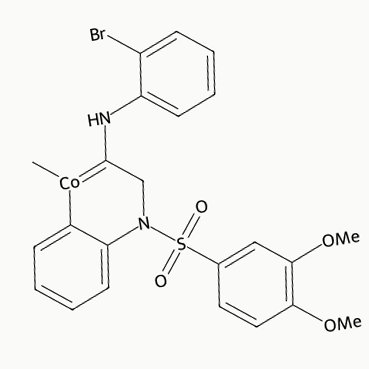 COc1ccc(S(=O)(=O)N2C[C](Nc3ccccc3Br)=[Co]([CH3])[c]3ccccc32)cc1OC